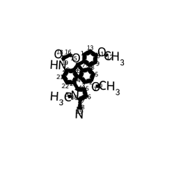 COc1ccc(C2(c3ccc(OC)cc3)OCC(=O)Nc3ccc(-c4ccc(C#N)n4C)cc32)cc1